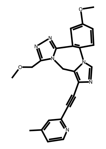 COCc1nnc2n1Cc1c(C#Cc3cc(C)ccn3)ncn1-c1ccc(OC)cc1-2